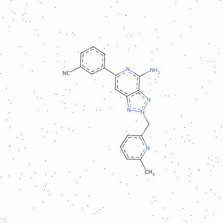 Cc1cccc(Cn2nc3cc(-c4cccc(C#N)c4)nc(N)c3n2)n1